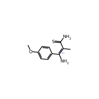 COc1ccc(/C(N)=C(/C)C(N)=S)cc1